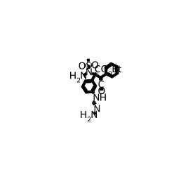 CCOC(=O)[C@@](C(=C=O)c1ccccc1)(c1cccc(NC=NN)c1)N(N)S(C)(=O)=O